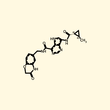 C[C@@H]1C[C@H]1C(=O)Nc1c[nH]c2c(C(=O)NCc3ccc4c(c3)NC(=O)CO4)ncnc12